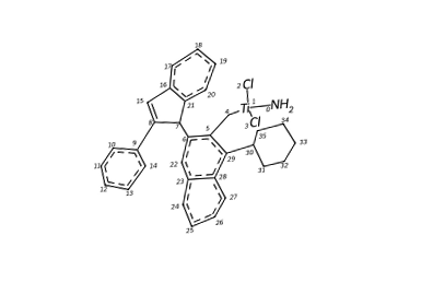 [NH2][Ti]([Cl])([Cl])[CH2]c1c(C2C(c3ccccc3)=Cc3ccccc32)cc2ccccc2c1C1CCCCC1